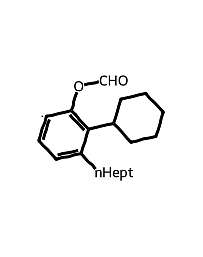 CCCCCCCc1cc[c]c(OC=O)c1C1CCCCC1